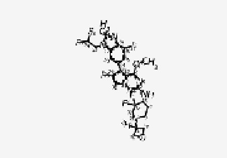 [2H]C1(N2CC[C@@H](Nc3nc(OC)c4c(-c5cc(F)c6nc(C)n(CC(F)F)c6c5)c(F)cn4n3)C(F)(F)C2)COC1